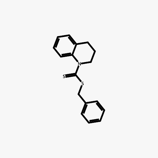 S=C(SCc1ccccc1)N1CCCc2ccccc21